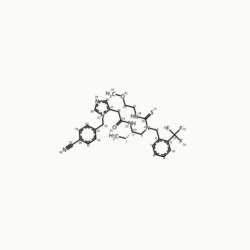 CC[C@@H](CN(Cc1ccccc1C(F)(F)F)C(=S)NCCOC)NC(=O)Cc1cncn1Cc1ccc(C#N)cc1